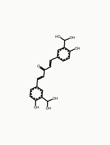 O=C(C=Cc1ccc(O)c(C(O)O)c1)C=Cc1ccc(O)c(C(O)O)c1